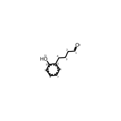 O=CCCCc1ccccc1O